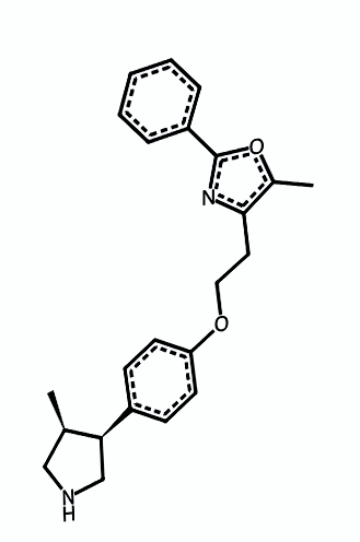 Cc1oc(-c2ccccc2)nc1CCOc1ccc([C@H]2CNC[C@H]2C)cc1